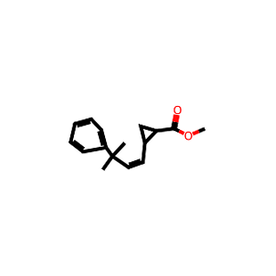 COC(=O)C1CC1/C=C\C(C)(C)c1ccccc1